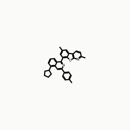 Cc1ccc(-c2cc3c(C4CCCC4)cccc3c(-c3cc(C)cc4c3oc3nc(C)ccc34)n2)cc1